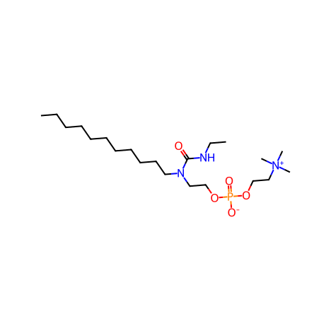 CCCCCCCCCCCN(CCOP(=O)([O-])OCC[N+](C)(C)C)C(=O)NCC